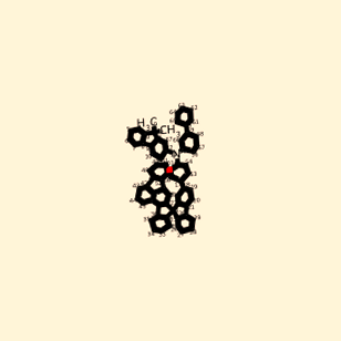 CC1(C)c2ccccc2-c2ccc(N(c3ccc(-c4ccc5c(c4)C4(c6ccccc6-5)c5ccccc5-c5c4cc4c6c(cccc56)-c5ccccc5-4)cc3)c3cccc(-c4ccccc4)c3)cc21